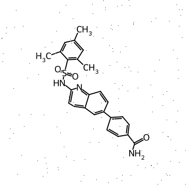 Cc1cc(C)c(S(=O)(=O)Nc2ccc3cc(-c4ccc(C(N)=O)cc4)ccc3n2)c(C)c1